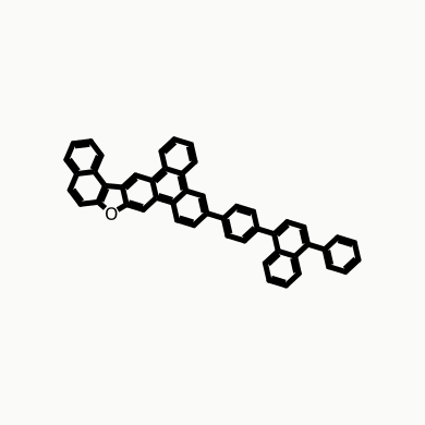 c1ccc(-c2ccc(-c3ccc(-c4ccc5c(c4)c4ccccc4c4cc6c(cc54)oc4ccc5ccccc5c46)cc3)c3ccccc23)cc1